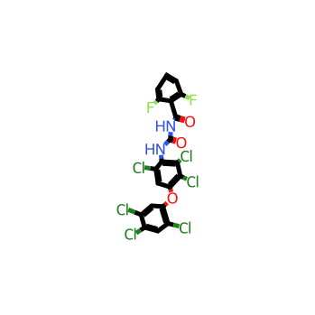 O=C(NC(=O)c1c(F)cccc1F)Nc1c(Cl)cc(Oc2cc(Cl)c(Cl)cc2Cl)c(Cl)c1Cl